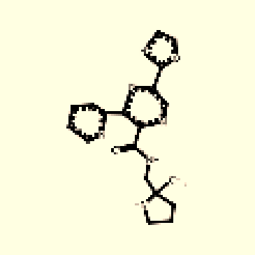 CC1(CNC(=O)c2ncc(-c3ncco3)nc2-c2ccccn2)CCCN1